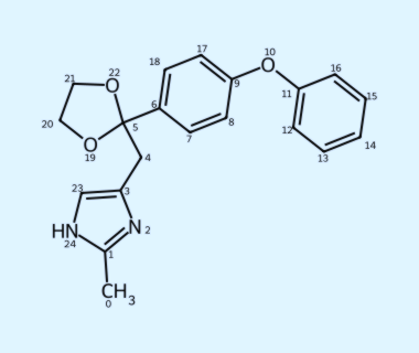 Cc1nc(CC2(c3ccc(Oc4ccccc4)cc3)OCCO2)c[nH]1